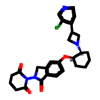 O=C1c2ccc(O[C@@H]3CCCC[C@H]3N3CC(c4ccncc4Cl)C3)cc2CN1N1C(=O)CCCC1=O